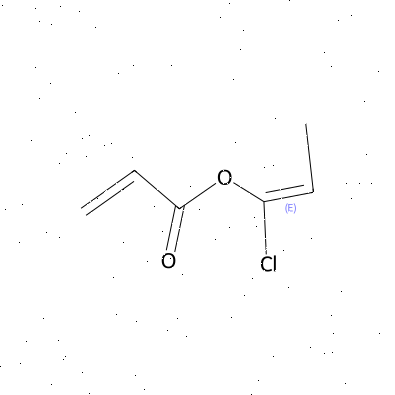 C=CC(=O)O/C(Cl)=C\C